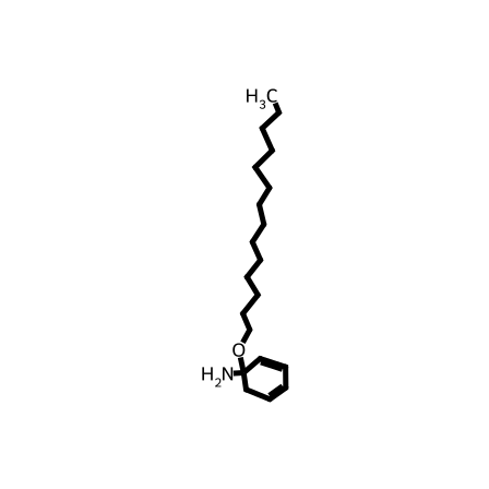 CCCCCCCCCCCCCCOC1(N)C=CC=CC1